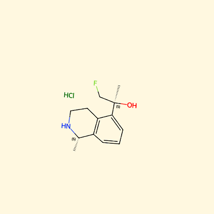 C[C@@H]1NCCc2c1cccc2[C@](C)(O)CF.Cl